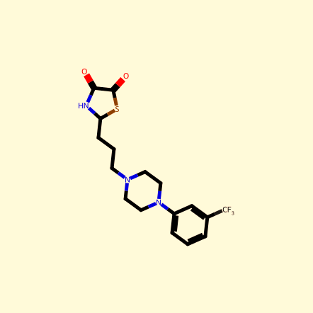 O=C1NC(CCCN2CCN(c3cccc(C(F)(F)F)c3)CC2)SC1=O